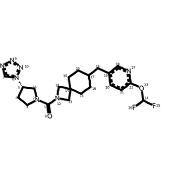 O=C(N1CC[C@H](n2cnnn2)C1)N1CC2(CCC(Cc3ccc(OC(F)F)nc3)CC2)C1